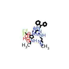 CCC(=O)N[C@H]1C[C@@H](n2cnc3c(NCC(c4ccccc4)c4ccccc4)nc(NCCc4cn(C)cn4)nc32)[C@H](OC(=O)C(F)(F)F)[C@@H]1O